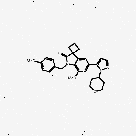 COc1ccc(CN2C(=O)C3(CCC3)c3cc(-c4ccnn4C4CCOCC4)cc(OC)c32)cc1